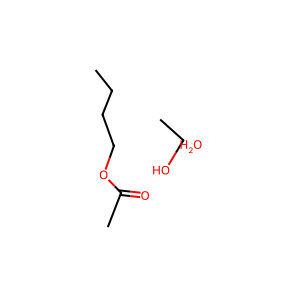 CCCCOC(C)=O.CCO.O